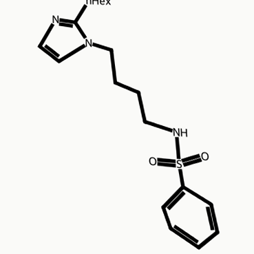 CCCCCCc1nccn1CCCCNS(=O)(=O)c1ccccc1